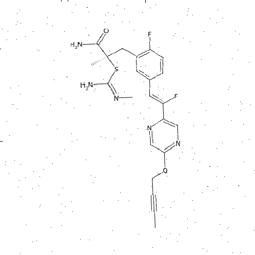 CC#CCOc1cnc(/C(F)=C/c2ccc(F)c(C[C@@](C)(S/C(N)=N\C)C(N)=O)c2)cn1